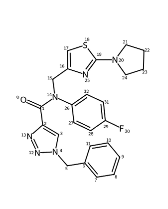 O=C(c1cn(Cc2ccccc2)nn1)N(Cc1csc(N2CCCC2)n1)c1ccc(F)cc1